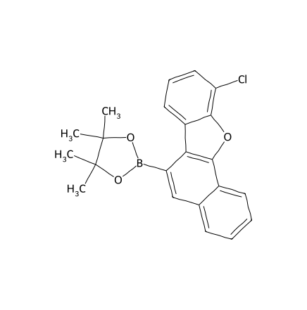 CC1(C)OB(c2cc3ccccc3c3oc4c(Cl)cccc4c23)OC1(C)C